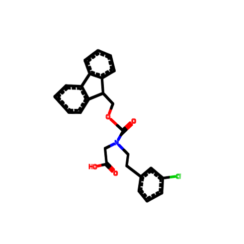 O=C(O)CN(CCc1cccc(Cl)c1)C(=O)OCC1c2ccccc2-c2ccccc21